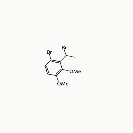 COc1ccc(Br)c(C(C)Br)c1OC